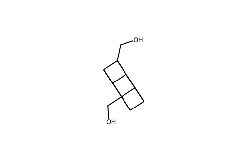 OCC12C3C4C1C1C2C3C41CO